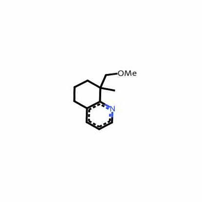 COCC1(C)CCCc2cccnc21